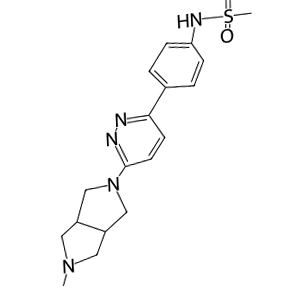 CN1CC2CN(c3ccc(-c4ccc(NS(C)(=O)=O)cc4)nn3)CC2C1